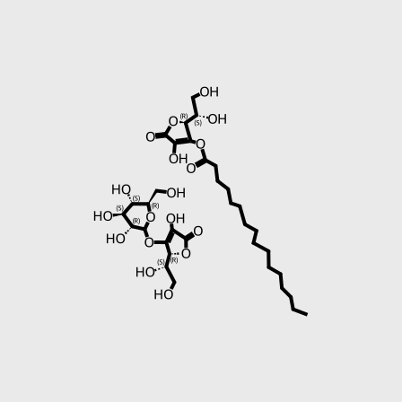 CCCCCCCCCCCCCCCC(=O)OC1=C(O)C(=O)O[C@@H]1[C@@H](O)CO.O=C1O[C@H]([C@@H](O)CO)C(OC2O[C@H](CO)[C@@H](O)[C@H](O)[C@H]2O)=C1O